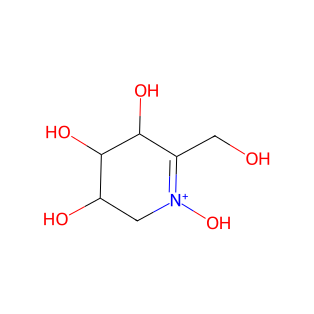 OCC1=[N+](O)CC(O)C(O)C1O